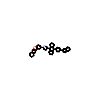 C1=Cc2cc3oc4ccc(-c5ccc(-c6c7ccccc7c(-c7ccc(-c8ccc9ccccc9c8)cc7)c7ccccc67)cn5)cc4c3cc2CC1